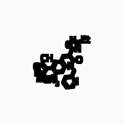 CCc1noc(-c2cc3cc(-c4c(C)noc4C)c(OC)cc3n(Cc3ccccn3)c2=O)n1